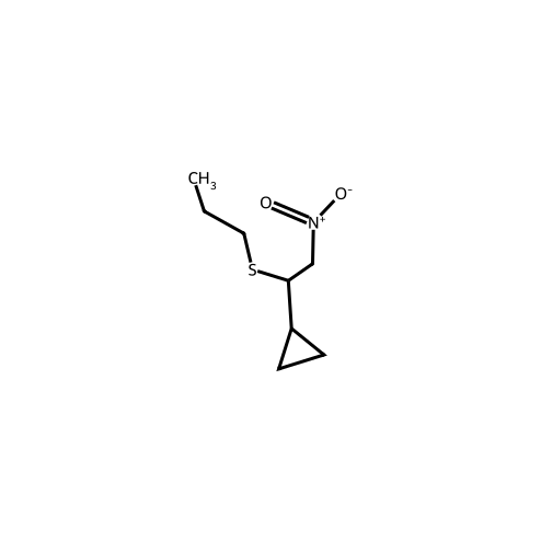 CCCSC(C[N+](=O)[O-])C1CC1